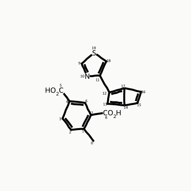 Cc1ccc(C(=O)O)cc1C(=O)O.c1nc(-c2cc3ccc2-3)cs1